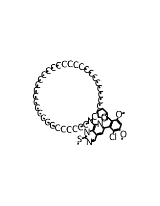 COc1cc(OC)c(Cl)c(-c2cc3cnc(SC)nc3c(N3CCCCCCCCCCCCCCCCCCCCCCCCCCCCCCCCC4(CCOC4)C3)n2)c1Cl